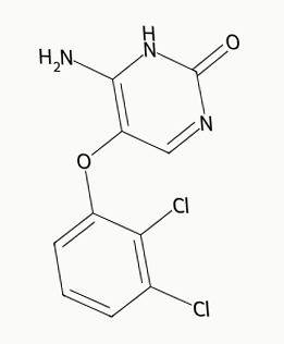 Nc1[nH]c(=O)ncc1Oc1cccc(Cl)c1Cl